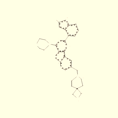 FC(F)(F)c1cc2c(-c3nc(N4CCOCC4)c4oc5ncc(CN6CCC7(CC6)COC7)cc5c4n3)cccc2[nH]1